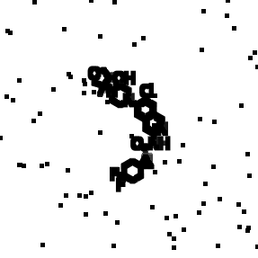 C[C@@]1(N2CCN(c3cc4cc(NC(=O)[C@@H]5CC56CCC(F)(F)CC6)ncc4cc3Cl)CC2)COC[C@@H]1O